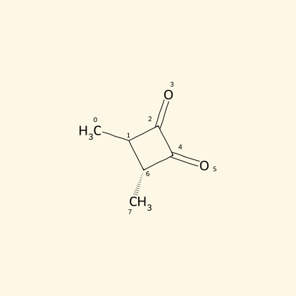 CC1C(=O)C(=O)[C@@H]1C